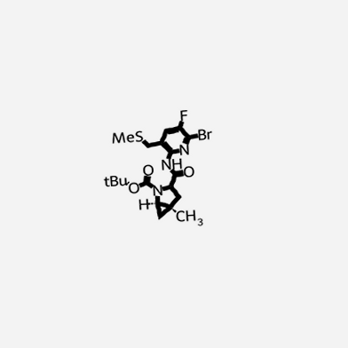 CSCc1cc(F)c(Br)nc1NC(=O)C1C[C@@]2(C)C[C@H]2N1C(=O)OC(C)(C)C